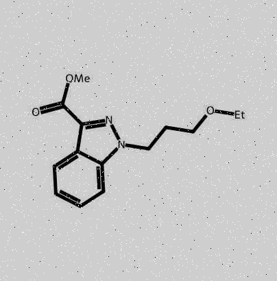 CCOCCCn1nc(C(=O)OC)c2ccccc21